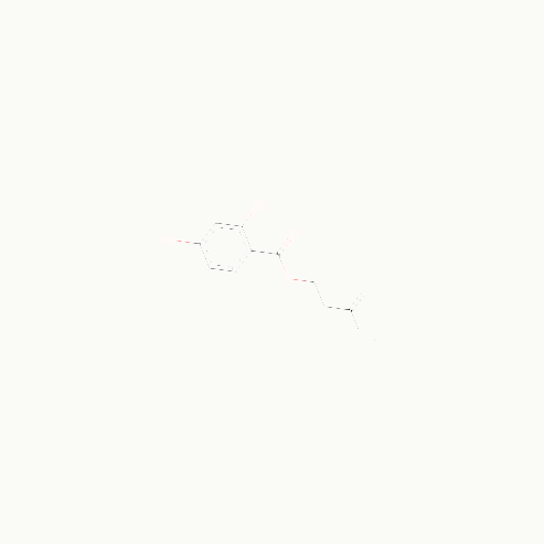 C=C(C)CCOC(=O)c1ccc(O)cc1O